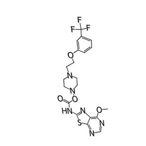 COc1ncnc2sc(NC(=O)ON3CCN(CCOc4cccc(C(F)(F)F)c4)CC3)nc12